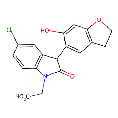 O=C(O)CN1C(=O)C(c2cc3c(cc2O)OCC3)c2cc(Cl)ccc21